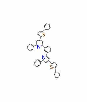 c1ccc(-c2cc(-c3ccc(-c4ccccc4)s3)cc(-c3cccc(-c4cc(-c5ccc(-c6ccccc6)s5)cc(-c5ccccc5)n4)c3)n2)cc1